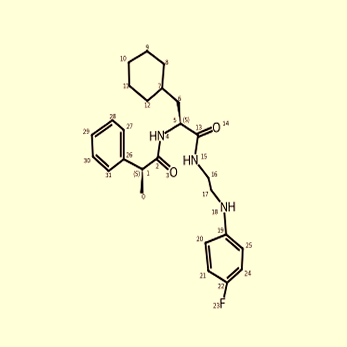 C[C@H](C(=O)N[C@@H](CC1CCCCC1)C(=O)NCCNc1ccc(F)cc1)c1ccccc1